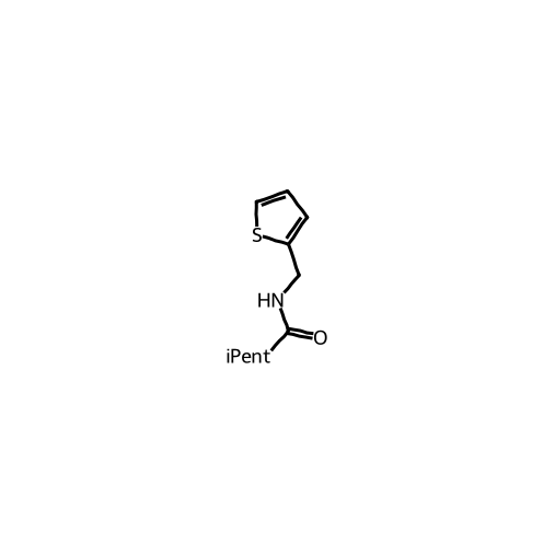 CCCC(C)C(=O)NCc1cccs1